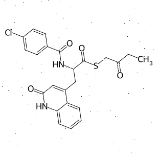 CCC(=O)CSC(=O)C(Cc1cc(=O)[nH]c2ccccc12)NC(=O)c1ccc(Cl)cc1